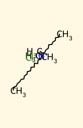 CCCCCCCCCCCCCCCCC[N+](C)(C)C(C)CCCCCCCCCC.[Cl-]